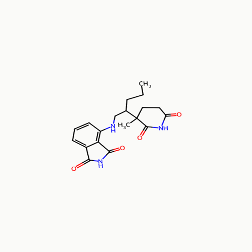 CCCC(CNc1cccc2c1C(=O)NC2=O)C1(C)CCC(=O)NC1=O